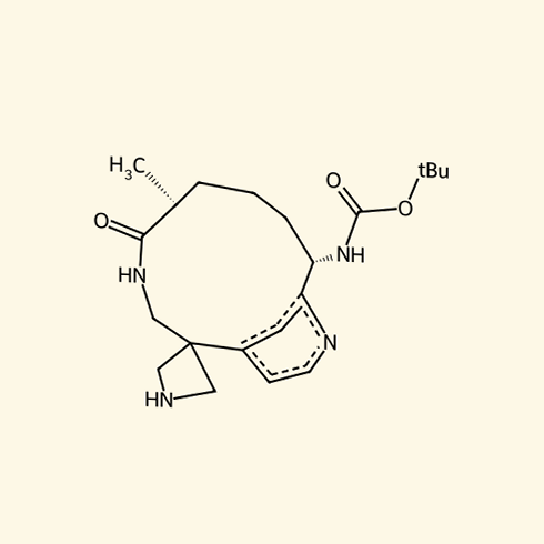 C[C@@H]1CCC[C@H](NC(=O)OC(C)(C)C)c2cc(ccn2)C2(CNC2)CNC1=O